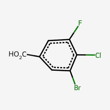 O=C(O)c1cc(F)c(Cl)c(Br)c1